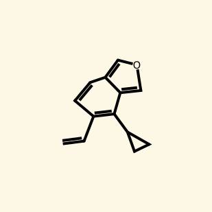 C=Cc1ccc2cocc2c1C1CC1